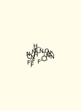 O=C(c1cc(F)ccc1-n1nccn1)N1CC[C@H]2CN(c3nccc(C(F)(F)F)n3)[C@H]2C1